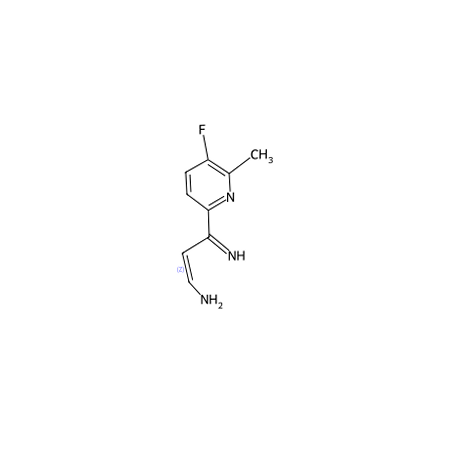 Cc1nc(C(=N)/C=C\N)ccc1F